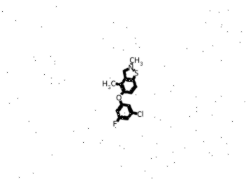 Cc1c(Oc2cc(F)cc(Cl)c2)ccc2c1CN(C)S2